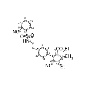 CCOC(=O)c1c(-c2ccc(CCNS(=O)(=O)c3ccccc3C#N)cc2)c(C#N)c(CC)n1C